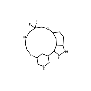 FC1(F)CNCCOC2CNCC(C2)C2NNC3CCC(CC32)OC1